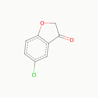 O=C1COc2ccc(Cl)cc21